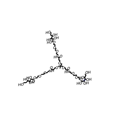 CO[C@H](OCCOCCOCCNC(=O)CCOCC(C)(COCCC(=O)NCCOCCOCCO[C@@H](O)/C(O)=C(/O)[C@H](O)CCO)COCCC(=O)NCCOCCOCCO[C@@H](O)C(O)C(O)[C@H](O)CCO)C(O)C(O)[C@H](O)CCO